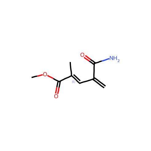 C=C(/C=C(\C)C(=O)OC)C(N)=O